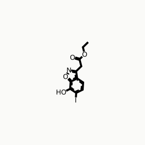 CCOC(=O)Cc1noc2c(O)c(I)ccc12